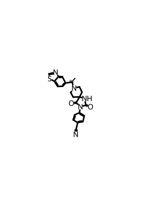 C[C@H](c1ccc2scnc2c1)N1CCC2(CC1)NC(=O)N(c1ccc(C#N)cc1)C2=O